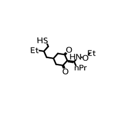 CCCC(NOCC)=C1C(=O)CC(CC(CC)CS)CC1=O